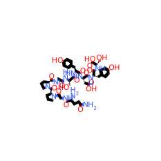 NC(=O)CC[C@H](N)C(=O)NCC(=O)N1CCC[C@H]1C(=O)N1CCC[C@H]1C(=O)NCC(=O)N[C@@H](CO)C(=O)N[C@@H](Cc1ccc(O)cc1)C(=O)N[C@@H](CC(=O)O)C(=O)N[C@@H](Cc1ccc(O)cc1)C(=O)N[C@@H](CO)C(=O)O